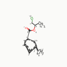 Cc1cccc(C(=O)OC(C)CCl)c1